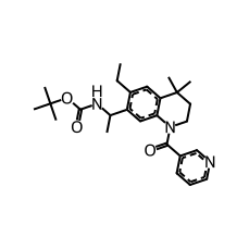 CCc1cc2c(cc1C(C)NC(=O)OC(C)(C)C)N(C(=O)c1cccnc1)CCC2(C)C